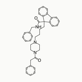 O=C(Cc1ccccc1)N1CCN(CCCCC2(C(=O)NCc3ccccc3)c3ccccc3-c3ccccc32)CC1